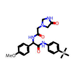 COc1ccc(C(NC(=O)CN2CNC(=O)C2)C(=O)Nc2ccc([Si](C)(C)C)cc2)cc1